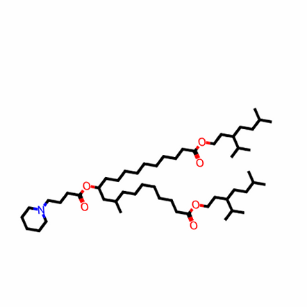 CC(C)CCC(CCOC(=O)CCCCCCCCCC(CC(C)CCCCCCCC(=O)OCCC(CCC(C)C)C(C)C)OC(=O)CCCN1CCCCC1)C(C)C